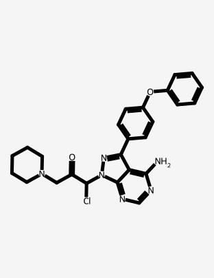 Nc1ncnc2c1c(-c1ccc(Oc3ccccc3)cc1)nn2C(Cl)C(=O)CN1CCCCC1